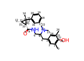 Cc1cc(C[C@@H](CNC(=O)[C@@H]2[C@H](C)[C@]2(C)c2ccccc2)N(C)C)cc(C)c1O